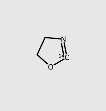 C1CO[14CH]=N1